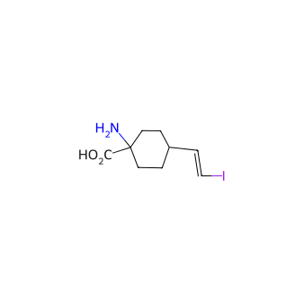 NC1(C(=O)O)CCC(C=CI)CC1